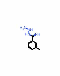 Cc1cccc(C(=N)NNN)c1